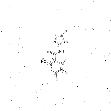 Cc1cnc(NC(=O)c2c(O)cc(C)n(C)c2=O)s1